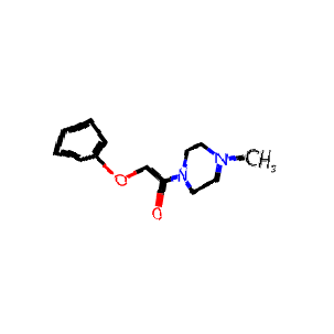 CN1CCN(C(=O)COc2ccccc2)CC1